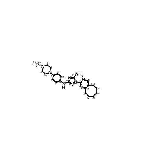 CN1CCN(c2ccc(Nc3nc(N)n(-c4ncc5c(n4)CCCCCC5)n3)cc2)CC1